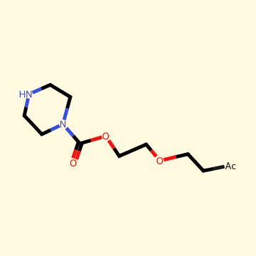 CC(=O)CCOCCOC(=O)N1CCNCC1